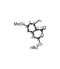 CCCCOc1nc2cc(OC)cc(C)c2c(=O)o1